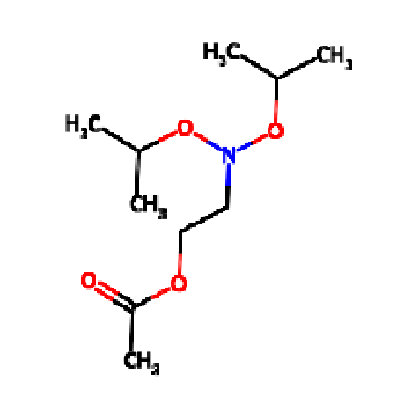 CC(=O)OCCN(OC(C)C)OC(C)C